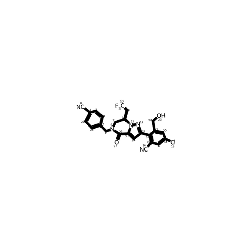 N#Cc1ccc(CN2CC(CC(F)(F)F)n3nc(-c4c(C#N)cc(Cl)cc4CO)cc3C2=O)cc1